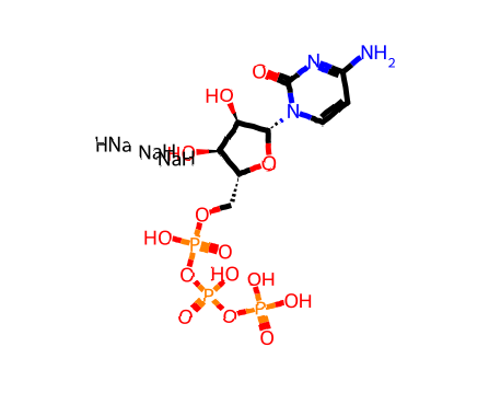 Nc1ccn([C@@H]2O[C@H](COP(=O)(O)OP(=O)(O)OP(=O)(O)O)[C@@H](O)[C@H]2O)c(=O)n1.[NaH].[NaH].[NaH]